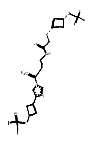 C=C(CCNC(=O)CO[C@H]1C[C@@H](OC(F)(F)F)C1)n1cnc(C2CC(OC(F)(F)F)C2)c1